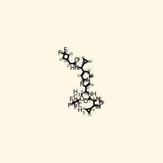 CC(C)(OC[C@H](NC(=O)c1nonc1C1CC1)c1cn2ncc(C(NC(=O)CC3CC(F)(F)C3)C3CC3)cc2n1)C(F)(F)F